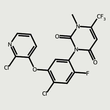 Cn1c(C(F)(F)F)cc(=O)n(-c2cc(Oc3cccnc3Cl)c(Cl)cc2F)c1=O